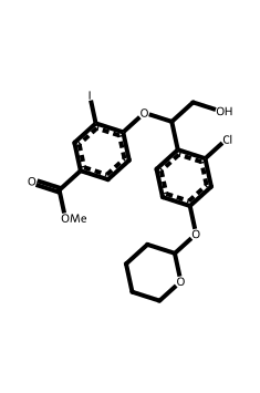 COC(=O)c1ccc(OC(CO)c2ccc(OC3CCCCO3)cc2Cl)c(I)c1